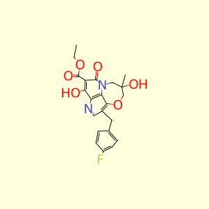 CCOC(=O)c1c(O)c2ncc(Cc3ccc(F)cc3)c3c2n(c1=O)CC(C)(O)CO3